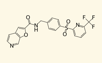 O=C(NCc1ccc(S(=O)(=O)c2cccc(C(F)(F)F)n2)cc1)c1cc2ccncc2o1